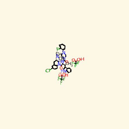 CC(c1c[nH]c2ccccc12)C(NC(=O)N1CCN(c2ccccc2F)CC1)C(=O)N1C[C@@H](CN(C)C)Cc2cc(Cl)ccc21.O=C(O)C(F)(F)F.O=C(O)C(F)(F)F